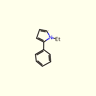 CCn1[c]ccc1-c1ccccc1